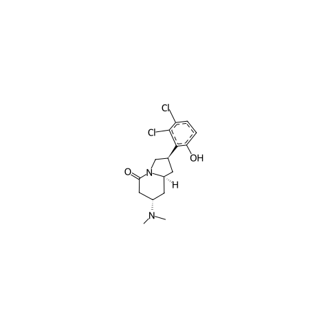 CN(C)[C@@H]1CC(=O)N2C[C@@H](c3c(O)ccc(Cl)c3Cl)C[C@H]2C1